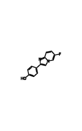 Oc1ccc(-c2cn3cc(F)ccc3n2)cc1